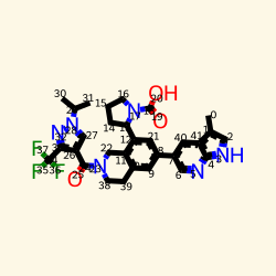 Cc1c[nH]c2ncc(-c3cc4c(c(C5CCCN5C(=O)O)c3)CN(C(=O)c3cn(C(C)C)nc3C(F)(F)F)CC4)cc12